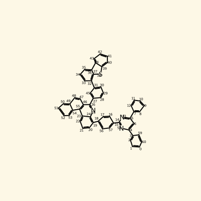 c1ccc(-c2cc(-c3ccccc3)nc(-c3ccc(-c4cccc5c4nc(-c4cccc(-c6cccc7c6sc6ccccc67)c4)c4ccc6ccccc6c45)cc3)n2)cc1